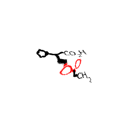 C=CC(=O)OCCC(CC(=O)O)c1ccccc1